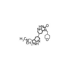 CN(C)Cc1c[nH]c2ncc(-c3cnc4[nH]c(=O)n(CC5CCOCC5)c4c3)cc12